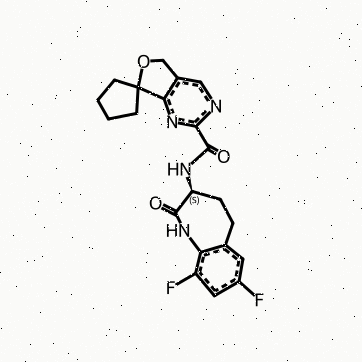 O=C(N[C@H]1CCc2cc(F)cc(F)c2NC1=O)c1ncc2c(n1)C1(CCCC1)OC2